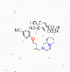 CC(CCOc1ccc(C#N)cc1)CN1CCN2CCCCC2C1.O=C(O)C=CC(=O)O.O=C(O)C=CC(=O)O